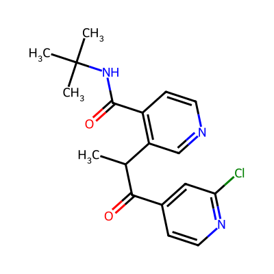 CC(C(=O)c1ccnc(Cl)c1)c1cnccc1C(=O)NC(C)(C)C